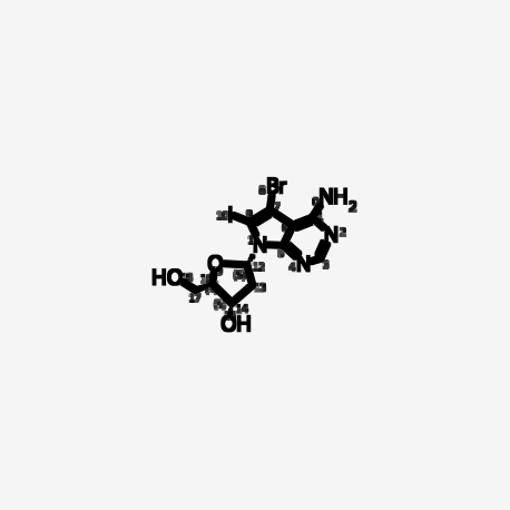 Nc1ncnc2c1c(Br)c(I)n2[C@@H]1C[C@H](O)[C@@H](CO)O1